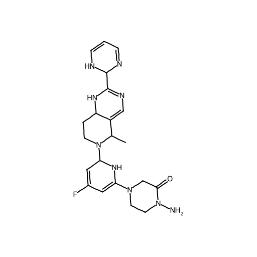 CC1C2=CN=C(C3N=CC=CN3)NC2CCN1C1C=C(F)C=C(N2CCN(N)C(=O)C2)N1